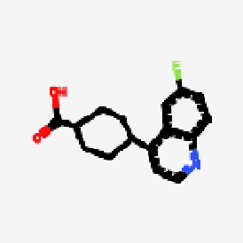 O=C(O)C1CCC(c2ccnc3ccc(F)cc23)CC1